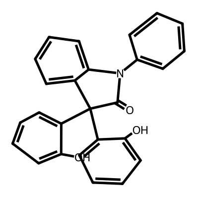 O=C1N(c2ccccc2)c2ccccc2C1(c1ccccc1O)c1ccccc1O